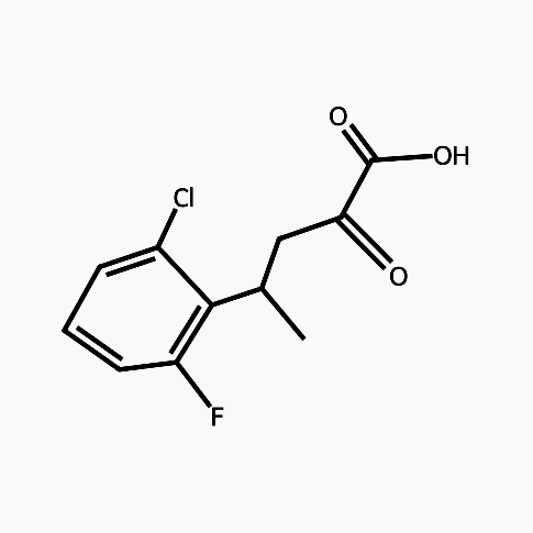 CC(CC(=O)C(=O)O)c1c(F)cccc1Cl